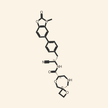 Cn1c(=O)oc2ccc(-c3ccc(C[C@@H](C#N)NC(=O)[C@@H]4CNC[C@]5(CCO5)CO4)cc3)cc21